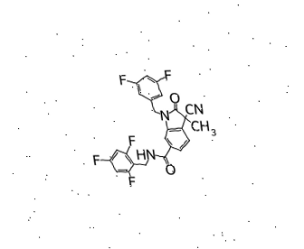 CC1(C#N)C(=O)N(Cc2cc(F)cc(F)c2)c2cc(C(=O)NCc3c(F)cc(F)cc3F)ccc21